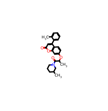 Cc1ccccc1-c1cc(=O)oc2cc(OC(C)C(=O)N3CCCC(C)C3)ccc12